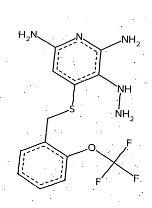 NNc1c(SCc2ccccc2OC(F)(F)F)cc(N)nc1N